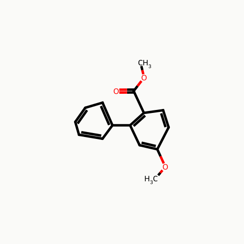 COC(=O)c1ccc(OC)cc1-c1ccccc1